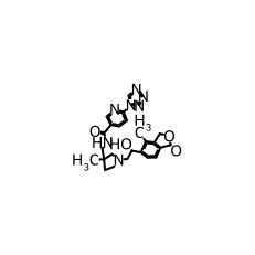 Cc1c([C@@H](O)CN2CCC(C)(CNC(=O)c3ccc(-n4cnnn4)nc3)C2)ccc2c1COC2=O